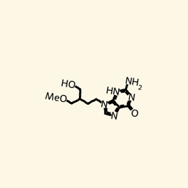 COCC(CO)CCn1cnc2c(=O)nc(N)[nH]c21